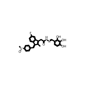 CC1=C(CC(=O)NN=Cc2ccc(O)c(O)c2O)c2cc(F)ccc2/C1=C\c1ccc([S+](C)[O-])cc1